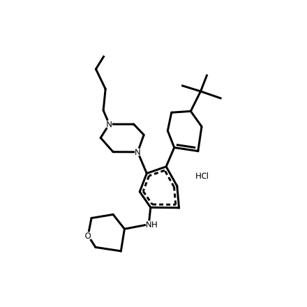 CCCCN1CCN(c2cc(NC3CCOCC3)ccc2C2=CCC(C(C)(C)C)CC2)CC1.Cl